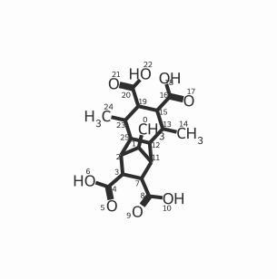 CC1C2C(C(=O)O)C(C(=O)O)C1C1C(C)C(C(=O)O)C(C(=O)O)C(C)C21